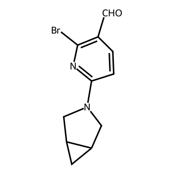 O=Cc1ccc(N2CC3CC3C2)nc1Br